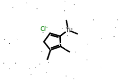 CC1=C(C)[C]([Ti+]([CH3])[CH3])=CC1.[Cl-]